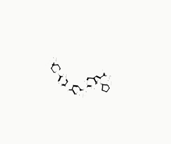 CN(C)C(=O)c1cc2cnc(Nc3ccc(Sc4cnc(N5CCC(C)(N)CC5)cn4)cn3)nc2n1C1CCCC1